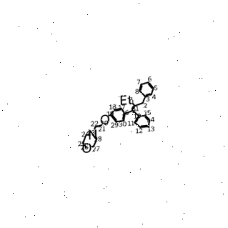 CCC(Cc1ccccc1)=C(c1ccccc1)c1ccc(OCCN2CCOCC2)cc1